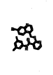 Cc1cc(C)cc(NC(=O)c2cccnc2SCc2ccnc3cc(Br)ccc23)c1